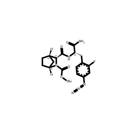 CC(C)(C)OC(=O)N1[C@@H]2CC[C@@H](C2)[C@H]1C(=O)N[C@@H](Cc1ccc(N=[N+]=[N-])cc1F)C(N)=O